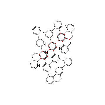 c1cnc2c(c1)CCc1cc(-c3ccccc3-c3cc(-c4ccccc4-c4ccc(-c5ccc(-c6ccccc6-c6cc(-c7ccccc7-c7ccc8c(c7)CCc7cccnc7-8)cc(-c7ccccc7-c7ccc8c(c7)CCc7cccnc7-8)c6)cn5)nc4)cc(-c4ccccc4-c4ccc5c(c4)CCc4cccnc4-5)c3)ccc1-2